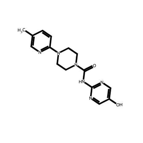 Cc1ccc(N2CCN(C(=O)Nc3ncc(O)cn3)CC2)nc1